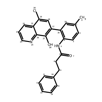 Cc1ccc(NC(=O)CCc2ccccc2)c(-c2cc(Cl)c3cccnc3c2O)c1